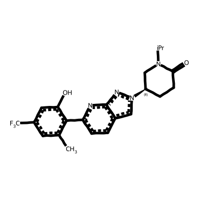 Cc1cc(C(F)(F)F)cc(O)c1-c1ccc2cn([C@@H]3CCC(=O)N(C(C)C)C3)nc2n1